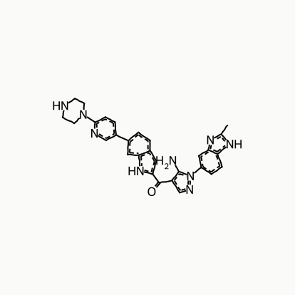 Cc1nc2cc(-n3ncc(C(=O)c4cc5ccc(-c6ccc(N7CCNCC7)nc6)cc5[nH]4)c3N)ccc2[nH]1